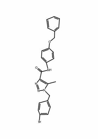 Cc1c(C(=O)Nc2ccc(OCc3ccccc3)cc2)nnn1Cc1ccc(Br)cc1